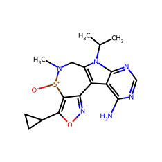 CC(C)n1c2c(c3c(N)ncnc31)-c1noc(C3CC3)c1[S+]([O-])N(C)C2